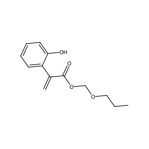 C=C(C(=O)OCOCCC)c1ccccc1O